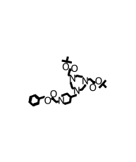 CC(C)(C)OC(=O)CN1CCN(CC(=O)OC(C)(C)C)CCN(CC2CCN(CC(=O)OCc3ccccc3)CC2)CC1